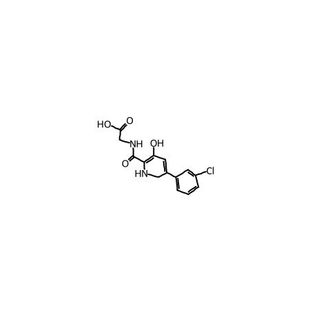 O=C(O)CNC(=O)C1=C(O)C=C(c2cccc(Cl)c2)CN1